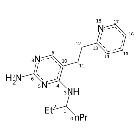 CCCC(CC)Nc1nc(N)ncc1CCc1ccccn1